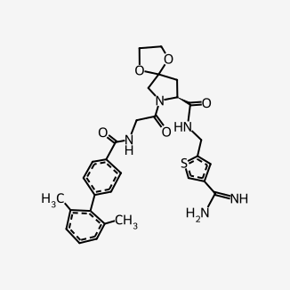 Cc1cccc(C)c1-c1ccc(C(=O)NCC(=O)N2CC3(C[C@H]2C(=O)NCc2cc(C(=N)N)cs2)OCCO3)cc1